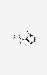 CC(=O)OC(C)c1nccn1C